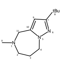 CN1CCCn2nc(C(C)(C)C)cc2C1